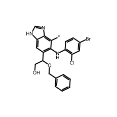 OCC(OCc1ccccc1)c1cc2[nH]cnc2c(F)c1Nc1ccc(Br)cc1Cl